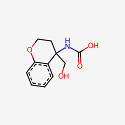 O=C(O)NC1(CO)CCOc2ccccc21